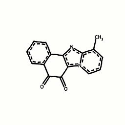 Cc1cccn2c3c(nc12)-c1ccccc1C(=O)C3=O